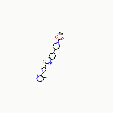 Cc1ccnnc1N1CC(C(=O)Nc2ccc(C3CCN(C(=O)OC(C)(C)C)CC3)cc2)C1